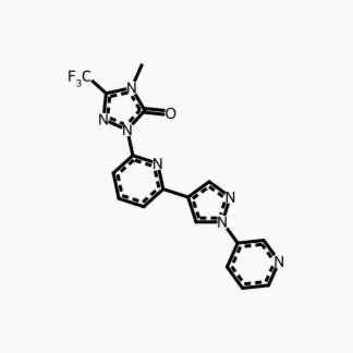 Cn1c(C(F)(F)F)nn(-c2cccc(-c3cnn(-c4cccnc4)c3)n2)c1=O